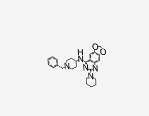 c1ccc(CN2CCC(Nc3nc(N4CCCCC4)nc4cc5c(cc34)OCO5)CC2)cc1